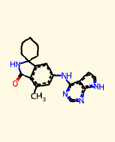 Cc1cc(Nc2ncnc3[nH]ccc23)cc2c1C(=O)NC21CCCCC1